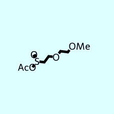 COCCOCCS(=O)OC(C)=O